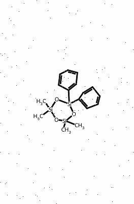 C[Si]1(C)O[Si](C)(C)O[Si](c2ccccc2)(c2ccccc2)O1